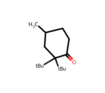 CC1CCC(=O)C(C(C)(C)C)(C(C)(C)C)C1